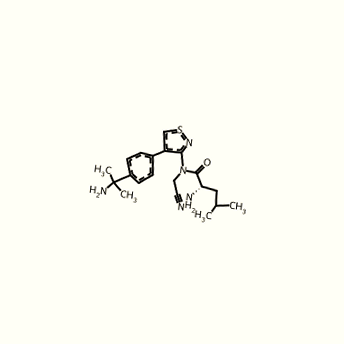 CC(C)C[C@H](N)C(=O)N(CC#N)c1nscc1-c1ccc(C(C)(C)N)cc1